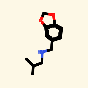 CC(C)CNCc1ccc2c(c1)OCO2